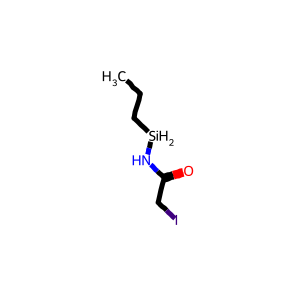 CCC[SiH2]NC(=O)CI